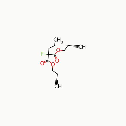 C#CCCOC(=O)C(F)(CCC)C(=O)OCCC#C